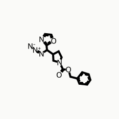 [N-]=[N+]=NC(c1ncco1)C1CCN(C(=O)OCc2ccccc2)C1